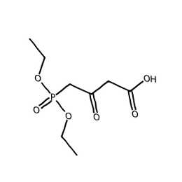 CCOP(=O)(CC(=O)CC(=O)O)OCC